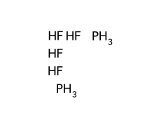 F.F.F.F.P.P